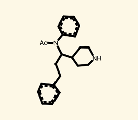 CC(=O)N(c1ccccc1)C(CCc1ccccc1)C1CCNCC1